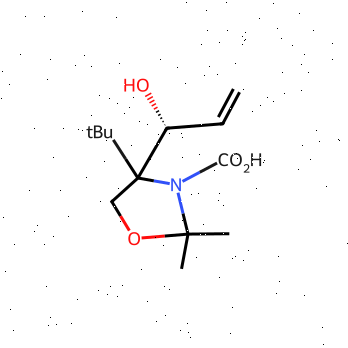 C=C[C@@H](O)C1(C(C)(C)C)COC(C)(C)N1C(=O)O